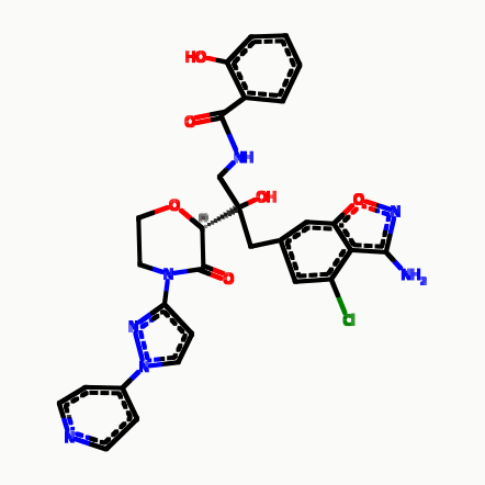 Nc1noc2cc(CC(O)(CNC(=O)c3ccccc3O)[C@H]3OCCN(c4ccn(-c5ccncc5)n4)C3=O)cc(Cl)c12